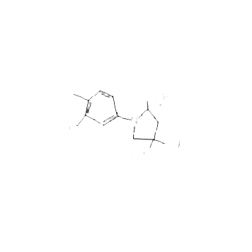 CC1(C)CC(C(=O)O)N(c2ccc(F)c(Cl)c2)C1